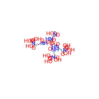 O=C(O)CN(CC(=O)O)C(CCCCNC(=O)CCOCC(COCCC(=O)NCCCCC(C(=O)O)N(CC(=O)O)CC(=O)O)(COCCC(=O)NCCCCC(C(=O)O)N(CC(=O)O)CC(=O)O)NC(=O)CCN1C(=O)C=CC1O)C(=O)O